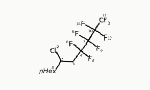 CCCCCCC(Cl)CC(F)(F)C(F)(F)C(F)(F)C(F)(F)F